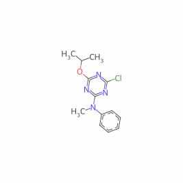 CC(C)Oc1nc(Cl)nc(N(C)c2ccccc2)n1